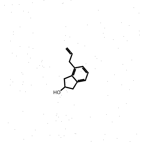 C=CCc1cccc2c1CC(O)C2